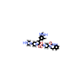 Cc1cc(C(C)C(OC(=O)N2CCC(N3CCc4ccccc4NC3=O)CC2)C(=O)N2CCC(N3CCNCC3)CC2)cc2nc[nH]c12